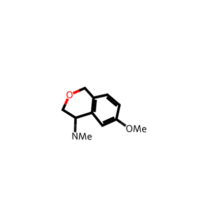 CNC1COCc2ccc(OC)cc21